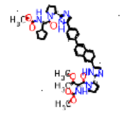 COC(=O)N[C@H](C(=O)N1CCC[C@H]1c1ncc(-c2ccc(-c3ccc4cc(-c5cnc([C@@H]6CCCN6C(=O)[C@@H](NC(=O)OC)[C@@H](C)OC)[nH]5)ccc4c3)cc2)[nH]1)C1CCCC1